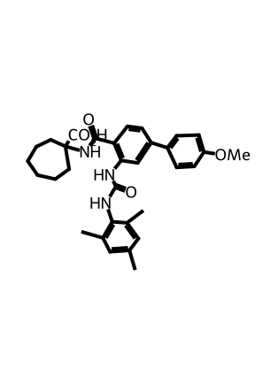 COc1ccc(-c2ccc(C(=O)NC3(C(=O)O)CCCCCC3)c(NC(=O)Nc3c(C)cc(C)cc3C)c2)cc1